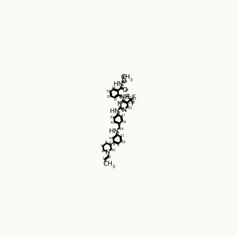 CC=CN1CCC[C@@H](c2cccc(NCc3ccc(Nc4ncc(C(F)(F)F)c(Nc5ccccc5C(=O)NOC)n4)cc3)c2)C1